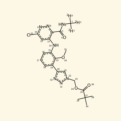 [2H]C([2H])([2H])NC(=O)c1nnc(Cl)cc1Nc1cccc(-c2cn(COC(=O)C(C)(C)C)nn2)c1OC